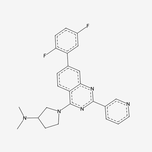 CN(C)C1CCN(c2nc(-c3cccnc3)nc3cc(-c4cc(F)ccc4F)ccc23)C1